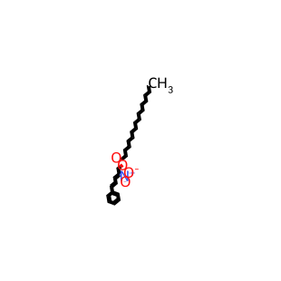 CCCCCCCCCCCCCCCCCC(=O)OCC(=CC=Cc1ccccc1)[N+](=O)[O-]